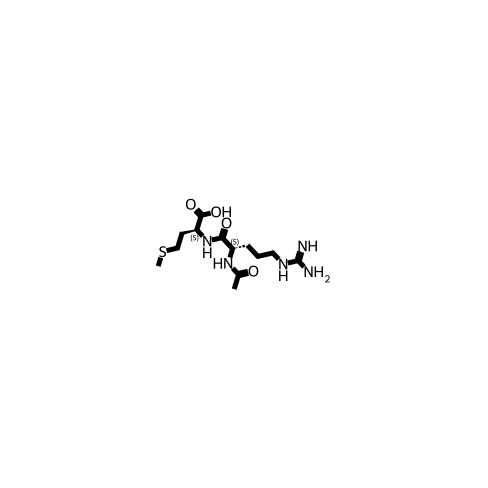 CSCC[C@H](NC(=O)[C@H](CCCNC(=N)N)NC(C)=O)C(=O)O